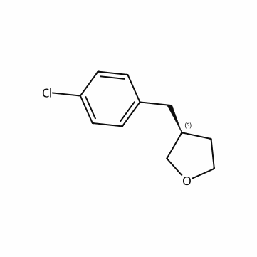 Clc1ccc(C[C@H]2CCOC2)cc1